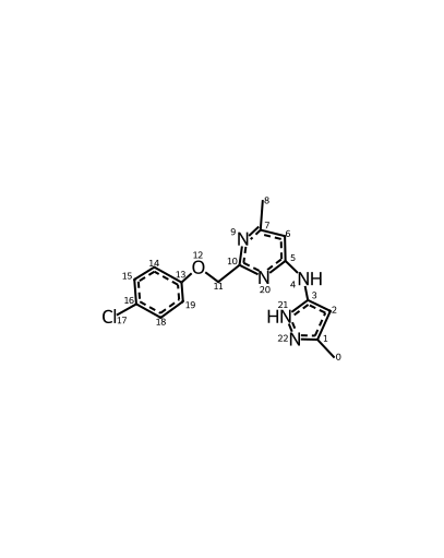 Cc1cc(Nc2cc(C)nc(COc3ccc(Cl)cc3)n2)[nH]n1